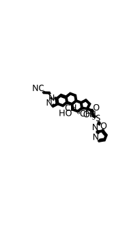 CC12Cc3cnn(CCC#N)c3C=C1CCC1C2[C@@H](O)CC2(C)C1CC[C@]2(O)C(=O)CSc1nc2ncccc2o1